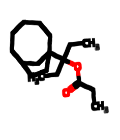 CCC(=O)OC(CC)(CC)C12CCCCCC(CC1)C2